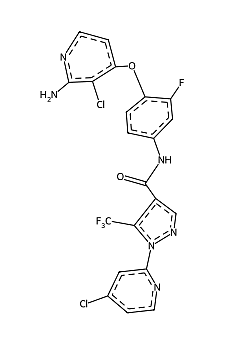 Nc1nccc(Oc2ccc(NC(=O)c3cnn(-c4cc(Cl)ccn4)c3C(F)(F)F)cc2F)c1Cl